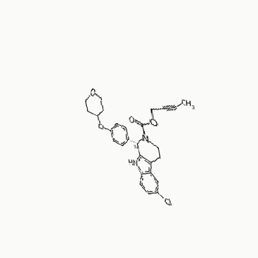 CC#CCOC(=O)N1CCc2c([nH]c3ccc(Cl)cc23)[C@@H]1c1ccc(OC2CCOCC2)cc1